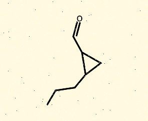 CCCC1CC1C=O